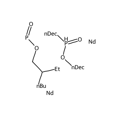 CCCCC(CC)COP=O.CCCCCCCCCCO[PH](=O)CCCCCCCCCC.[Nd].[Nd]